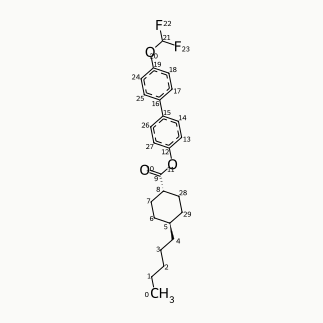 CCCCC[C@H]1CC[C@H](C(=O)Oc2ccc(-c3ccc(OC(F)F)cc3)cc2)CC1